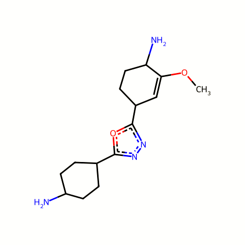 COC1=CC(c2nnc(C3CCC(N)CC3)o2)CCC1N